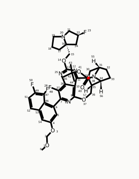 COCOc1cc(-c2nc3c4c(nc(OC[C@]56CCCN5C[C@@H](F)C6)nc4c2F)N2C[C@@H]4CC[C@H]([C@@H]2CO3)N4C(=O)OC(C)(C)C)c2c(F)c(F)ccc2c1